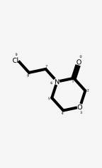 O=C1COCCN1CCCl